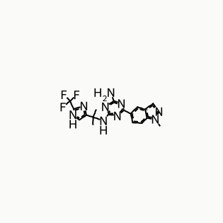 Cn1ncc2cc(-c3nc(N)nc(NC(C)(C)c4c[nH]c(C(F)(F)F)n4)n3)ccc21